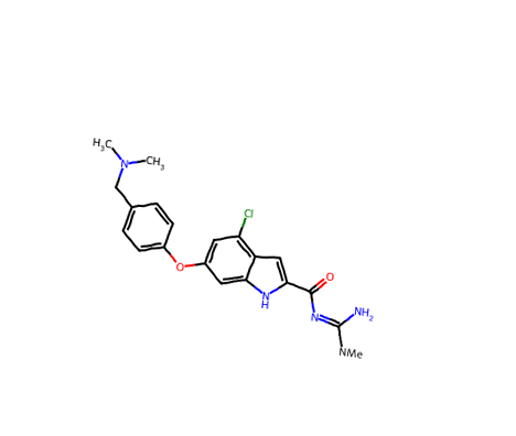 CNC(N)=NC(=O)c1cc2c(Cl)cc(Oc3ccc(CN(C)C)cc3)cc2[nH]1